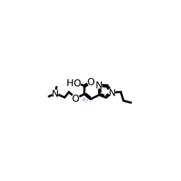 CCCn1cnc(/C=C(/OCCN(C)C)C(=O)O)c1